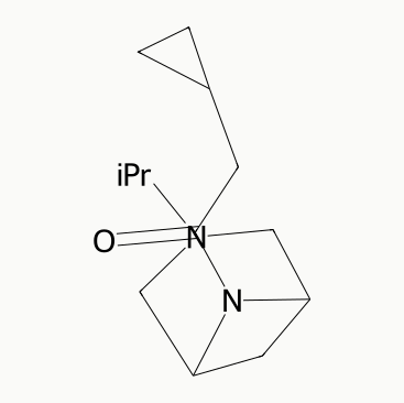 CC(C)N1CC2CC(C1)N2C(=O)CC1CC1